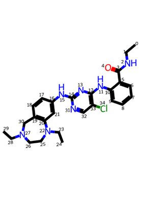 CCNC(=O)c1ccccc1Nc1nc(Nc2ccc3c(c2)N(CC)CCN(CC)C3)ncc1Cl